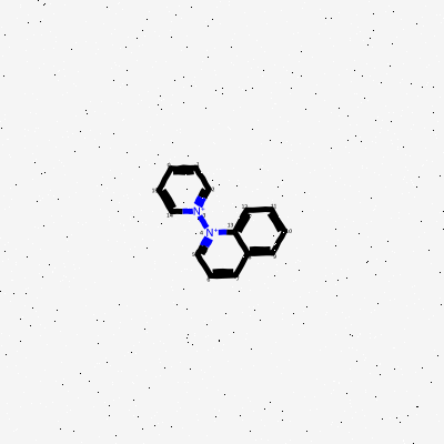 c1cc[n+](-[n+]2cccc3ccccc32)cc1